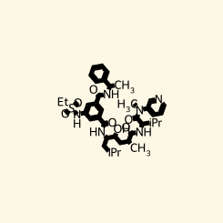 CCS(=O)(=O)Nc1cc(C(=O)NC(C)c2ccccc2)cc(C(=O)NC(CC(C)C)C(O)CC(C)C(=O)NC(C(=O)N(C)c2cccnc2)C(C)C)c1